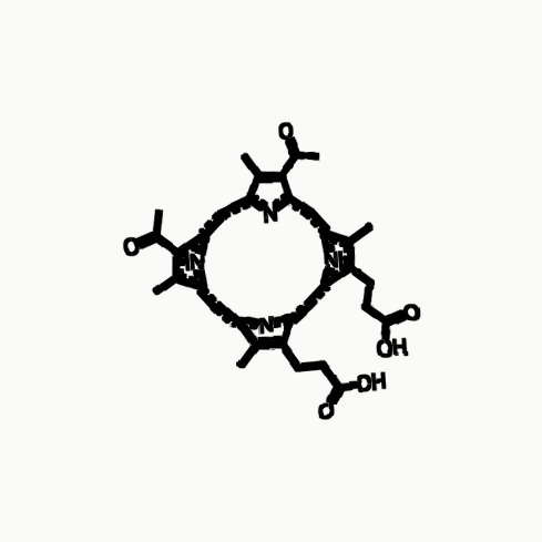 CC(=O)C1=C(C)c2cc3[nH]c(cc4nc(cc5[nH]c(cc1n2)c(C)c5CCC(=O)O)C(CCC(=O)O)=C4C)c(C)c3C(C)=O